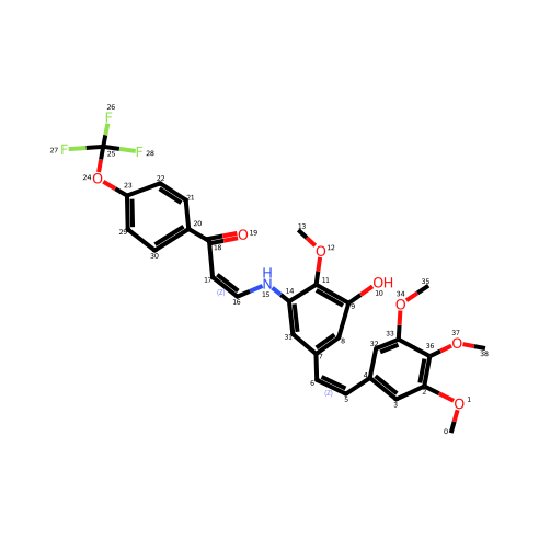 COc1cc(/C=C\c2cc(O)c(OC)c(N/C=C\C(=O)c3ccc(OC(F)(F)F)cc3)c2)cc(OC)c1OC